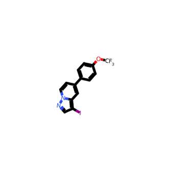 FC(F)(F)Oc1ccc(-c2ccn3ncc(I)c3c2)cc1